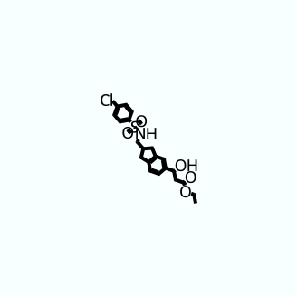 CCOC(=O)CC(O)c1ccc2c(c1)CC(CNS(=O)(=O)c1ccc(Cl)cc1)C2